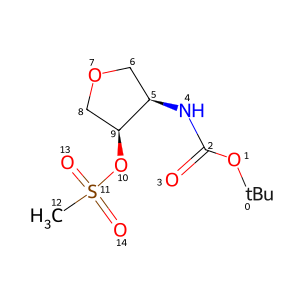 CC(C)(C)OC(=O)N[C@@H]1COC[C@@H]1OS(C)(=O)=O